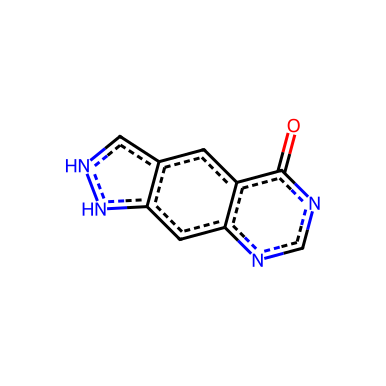 O=c1ncnc2cc3[nH][nH]cc3cc12